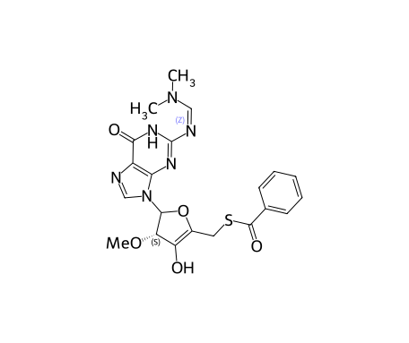 CO[C@H]1C(O)=C(CSC(=O)c2ccccc2)OC1n1cnc2c(=O)[nH]c(/N=C\N(C)C)nc21